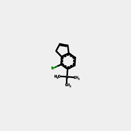 C[Si](C)(C)c1ccc2c(c1Br)CC=C2